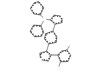 CC(C)(C)c1ccc(N)c(-c2cscc2-c2ccc(-c3cscc3N(c3ccccc3)c3ccccc3)cc2)c1